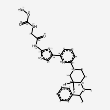 CC(c1ccccc1)N(C)[C@@H]1CCN(c2cccc(-c3csc(NC(=O)CNC(=O)OC(C)(C)C)n3)n2)CC1(F)F